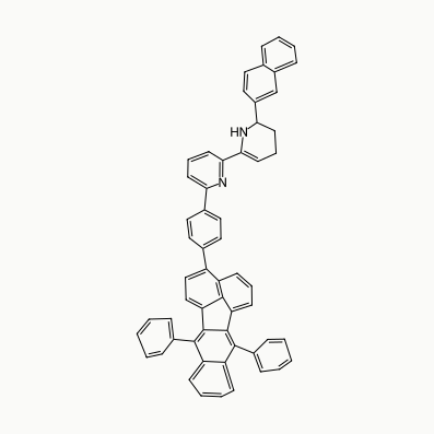 C1=C(c2cccc(-c3ccc(-c4ccc5c6c(cccc46)-c4c-5c(-c5ccccc5)c5ccccc5c4-c4ccccc4)cc3)n2)NC(c2ccc3ccccc3c2)CC1